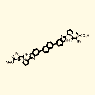 COC(=O)N[C@H](C(=O)N1CCCC1c1nc2cc(-c3ccc4cc(-c5ccc6[nH]c([C@@H]7CCCN7C(=O)[C@H](C(C)C)N(C)C(=O)O)nc6c5)ccc4c3)ccc2[nH]1)C(C)C